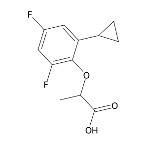 CC(Oc1c(F)cc(F)cc1C1CC1)C(=O)O